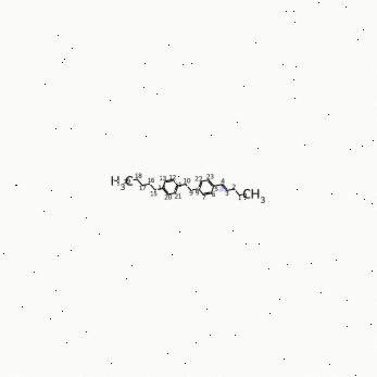 CCC/C=C/c1ccc(CCc2ccc(CCCCC)cc2)cc1